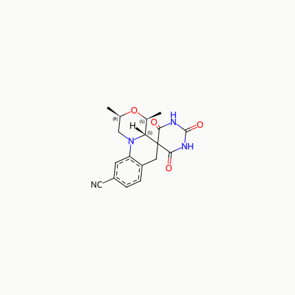 C[C@@H]1CN2c3cc(C#N)ccc3CC3(C(=O)NC(=O)NC3=O)[C@H]2[C@H](C)O1